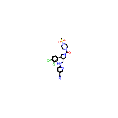 CS(=O)(=O)N1CCN(C(=O)N2C[C@H](CNc3ccc(C#N)cn3)[C@@H](c3ccc(Cl)c(Cl)c3)C2)CC1